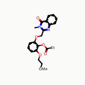 CCC(=O)Oc1c(OCCOC)cccc1OCc1nc2ccccc2c(=O)n1C